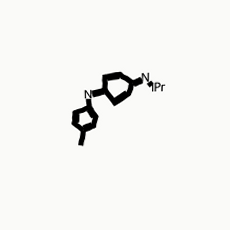 Cc1ccc(N=C2C=CC(=NC(C)C)C=C2)cc1